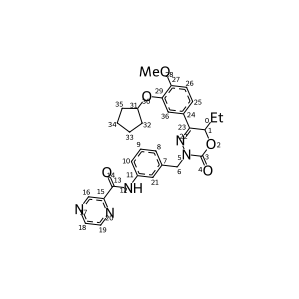 CCC1OC(=O)N(Cc2cccc(NC(=O)c3cnccn3)c2)N=C1c1ccc(OC)c(OC2CCCC2)c1